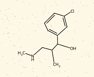 CNCC(C)C(O)c1cccc(Cl)c1